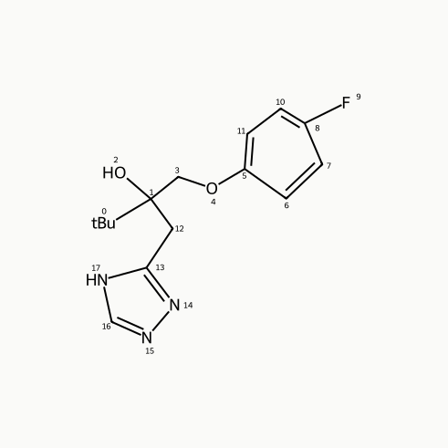 CC(C)(C)C(O)(COc1ccc(F)cc1)Cc1nnc[nH]1